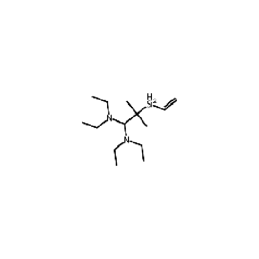 C=C[SiH2]C(C)(C)C(N(CC)CC)N(CC)CC